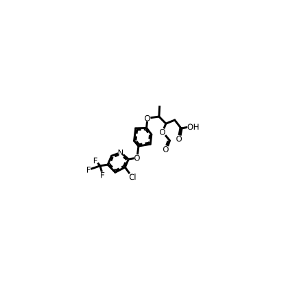 CC(Oc1ccc(Oc2ncc(C(F)(F)F)cc2Cl)cc1)C(CC(=O)O)OC=O